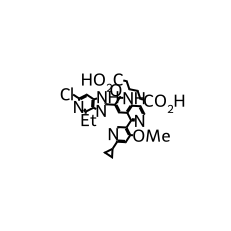 CCc1nc(Cl)cc2[nH]c(-c3cc4c(-c5cnc(C6CC6)cc5OC)nccc4[nH]c3=O)nc12.O=C(O)CCCCC(=O)O